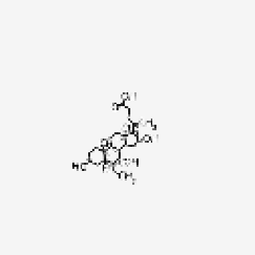 CC[C@H]1[C@@H](O)C2C3C[C@H](O)[C@H]([C@H](C)CCC(=O)O)[C@@]3(C)CCC2[C@@]2(C)CC[C@@H](O)C[C@@H]12